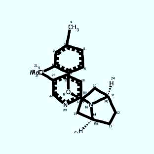 COc1cc(C)ccc1O[C@H]1C[C@H]2CC[C@@H](C1)N2c1ccc(C(F)(F)F)cn1